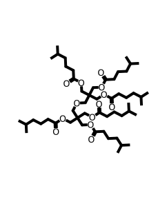 CC(C)CCCC(=O)OCC(COCC(COC(=O)CCCC(C)C)(COC(=O)CCCC(C)C)COC(=O)CCCC(C)C)(COC(=O)CCCC(C)C)COC(=O)CCCC(C)C